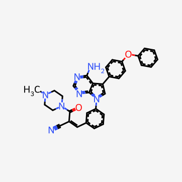 CN1CCN(C(=O)C(C#N)=Cc2cccc(-n3cc(-c4ccc(Oc5ccccc5)cc4)c4c(N)ncnc43)c2)CC1